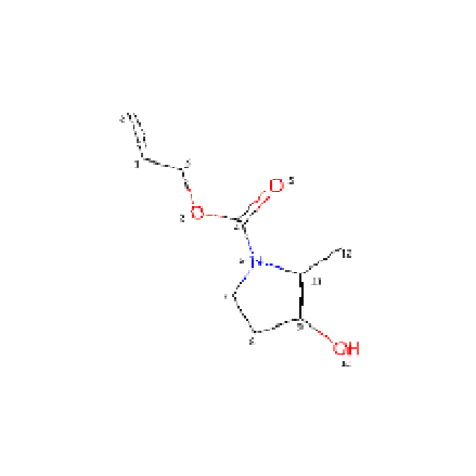 C=CCOC(=O)N1CCC(O)C1C